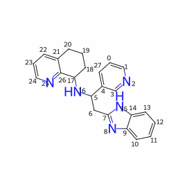 c1cncc(C(Cc2nc3ccccc3[nH]2)NC2CCCc3cccnc32)c1